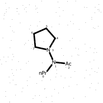 CCCN(C(C)=O)N1CCCC1